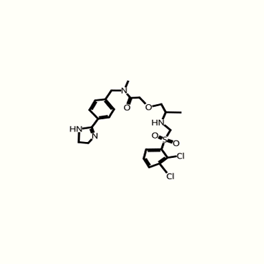 CC(COCC(=O)N(C)Cc1ccc(C2=NCCN2)cc1)NCS(=O)(=O)c1cccc(Cl)c1Cl